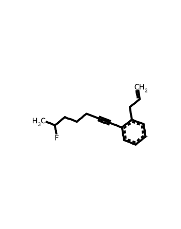 C=CCc1c[c]ccc1C#CCCCC(C)F